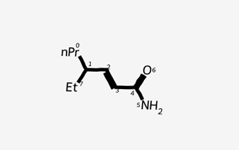 CCCC(C=CC(N)=O)CC